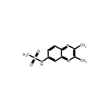 Cc1nc2ccc(NS(C)(=O)=O)cc2nc1C